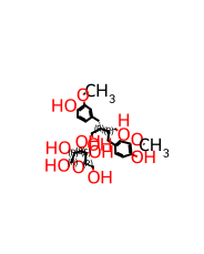 COc1cc(C[C@@H](CO)[C@H](CO)Cc2ccc(O)c(OC)c2)ccc1O.OC[C@H]1O[C@@H](O)[C@H](O)[C@@H](O)[C@@H]1O